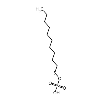 CCCCCCCCCCSOS(=O)(=O)O